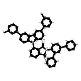 Cc1cccc(-c2ccc3c(c2)c2cc(-c4cccc(C)c4)ccc2n3-c2cccc3c2C(=O)N(c2ccc(-c4ccccc4)cc2-c2ccccc2)C3=O)c1